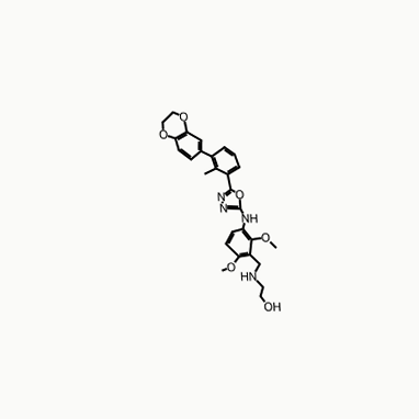 COc1ccc(Nc2nnc(-c3cccc(-c4ccc5c(c4)OCCO5)c3C)o2)c(OC)c1CNCCO